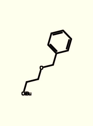 CC(C)COCCOCc1ccccc1